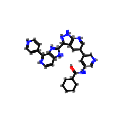 O=C(Nc1cncc(-c2cnc3[nH]nc(-c4nc5c(-c6ccncc6)nccc5[nH]4)c3c2)c1)C1CCCCC1